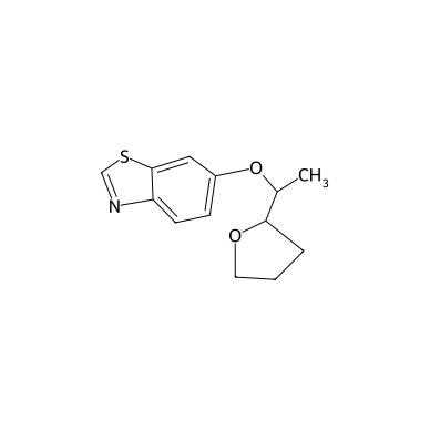 CC(Oc1ccc2ncsc2c1)C1CCCO1